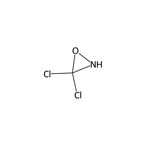 ClC1(Cl)NO1